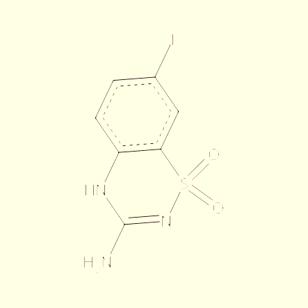 NC1=NS(=O)(=O)c2cc(I)ccc2N1